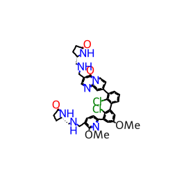 COc1cc(-c2ccc(CNC[C@@H]3CCC(=O)N3)c(OC)n2)c(Cl)c(-c2cccc(-c3ccn4c(=O)c(CNC[C@@H]5CCC(=O)N5)cnc4c3)c2Cl)c1